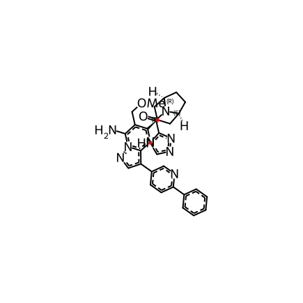 COCc1c([C@H]2C[C@H]3CC[C@@H](C2)N3C(=O)c2nnc[nH]2)nc2c(-c3ccc(-c4ccccc4)nc3)cnn2c1N